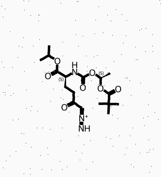 CC(C)OC(=O)[C@H](CCC(=O)C=[N+]=N)NC(=O)O[C@@H](C)OC(=O)C(C)(C)C